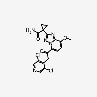 COc1ccc(C(=O)Cc2c(Cl)cncc2Cl)n2nc(C3(C(N)=O)CC3)nc12